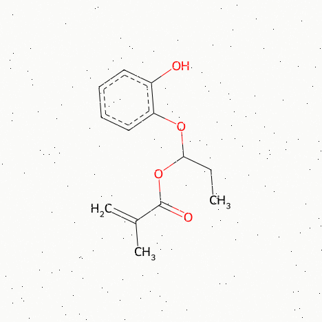 C=C(C)C(=O)OC(CC)Oc1ccccc1O